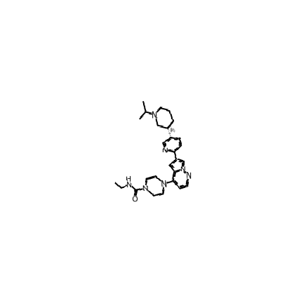 CCNC(=O)N1CCN(c2ccnn3cc(-c4ccc([C@H]5CCCN(C(C)C)C5)cn4)cc23)CC1